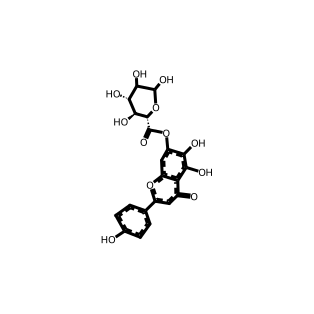 O=C(Oc1cc2oc(-c3ccc(O)cc3)cc(=O)c2c(O)c1O)[C@H]1OC(O)C(O)[C@@H](O)[C@@H]1O